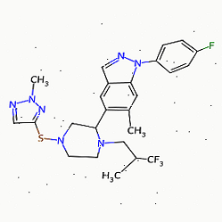 Cc1cc2c(cnn2-c2ccc(F)cc2)cc1C1CN(Sc2cnn(C)n2)CCN1CC(C)C(F)(F)F